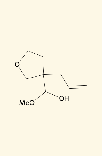 C=CCC1(C(O)OC)CCOC1